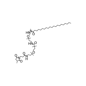 CCCCCCCCCCCCCCCCCCCCC(=O)N(C)NCOC(C)(C)CCNC(=O)C(C)(C)CCOC(C)(C)CCNC(=O)CCN1C(=O)CC(C)C1=O